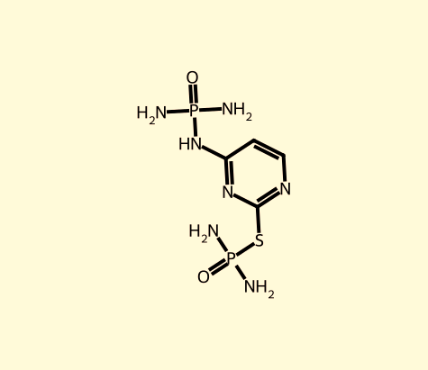 NP(N)(=O)Nc1ccnc(SP(N)(N)=O)n1